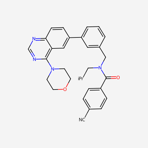 CC(C)CN(Cc1cccc(-c2ccc3ncnc(N4CCOCC4)c3c2)c1)C(=O)c1ccc(C#N)cc1